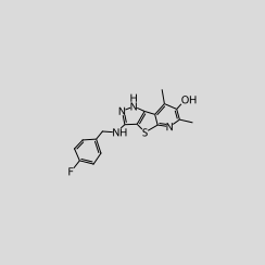 Cc1nc2sc3c(NCc4ccc(F)cc4)n[nH]c3c2c(C)c1O